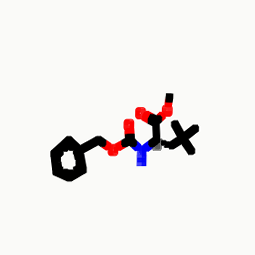 COC(=O)[C@H](CC(C)(C)C)NC(=O)OCc1ccccc1